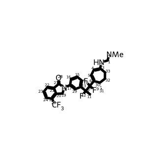 CNCNC1=CC=C(C(F)(F)C(C)(F)c2cccc(N3Cc4c(cccc4C(F)(F)F)C3=O)c2)[C@@H](C)CC1